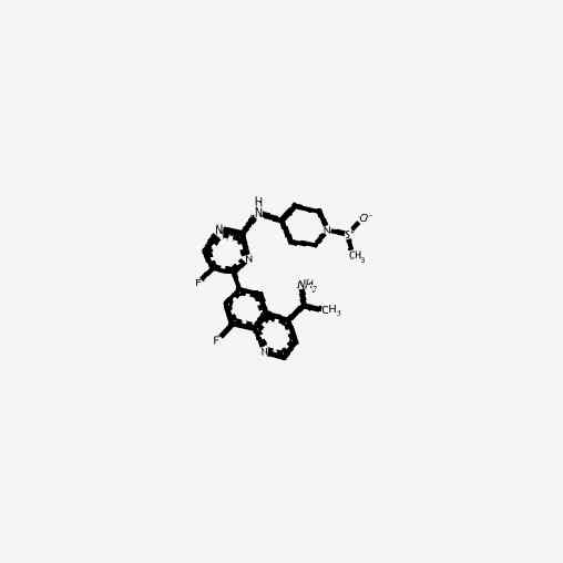 CC(N)c1ccnc2c(F)cc(-c3nc(NC4CCN([S+](C)[O-])CC4)ncc3F)cc12